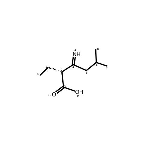 CC[C@H](C(=N)CC(C)C)C(=O)O